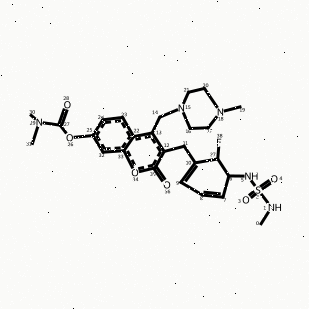 CNS(=O)(=O)NC1C=CC=C(Cc2c(CN3CCN(C)CC3)c3ccc(OC(=O)N(C)C)cc3oc2=O)C1F